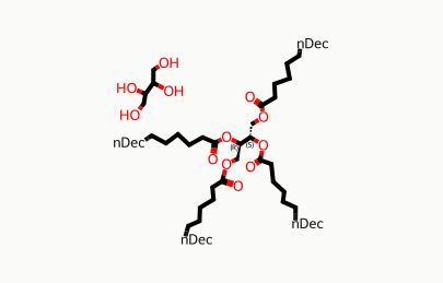 CCCCCCCCCCCCCCCC(=O)OC[C@H](OC(=O)CCCCCCCCCCCCCCC)[C@@H](COC(=O)CCCCCCCCCCCCCCC)OC(=O)CCCCCCCCCCCCCCC.OCC(O)C(O)CO